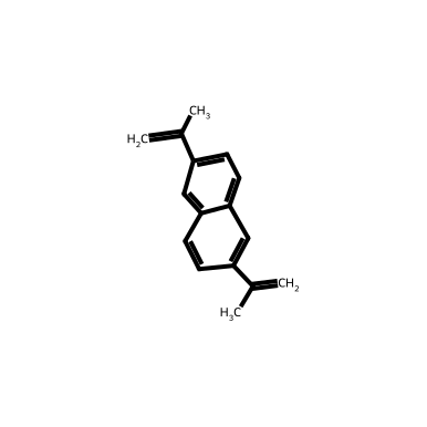 C=C(C)c1ccc2cc(C(=C)C)ccc2c1